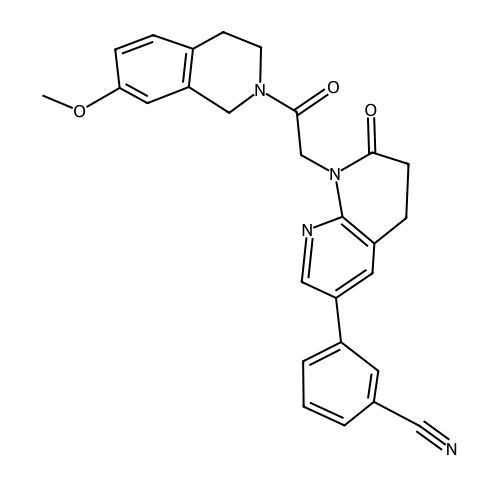 COc1ccc2c(c1)CN(C(=O)CN1C(=O)CCc3cc(-c4cccc(C#N)c4)cnc31)CC2